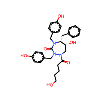 O=C(CCCCO)N1C[C@@H](O)[C@@H](Cc2ccccc2)N(Cc2ccc(O)cc2)C(=O)N1Cc1ccc(O)cc1